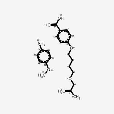 C=C(C)COCCCCOc1ccc(C(=O)O)cc1.COc1ccc(N)cc1